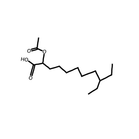 CCC(CC)CCCCCCC(OC(C)=O)C(=O)O